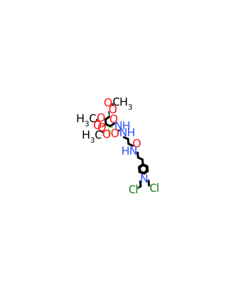 CC(=O)OC[C@H]1O[C@@H](NC(=O)NCCCC(=O)NCCCc2ccc(N(CCCl)CCCl)cc2)[C@H](F)[C@@H](OC(C)=O)[C@@H]1OC(C)=O